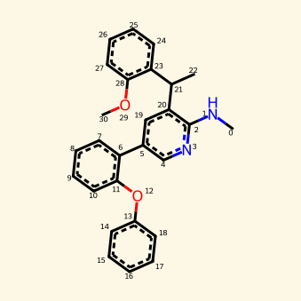 CNc1ncc(-c2ccccc2Oc2ccccc2)cc1C(C)c1ccccc1OC